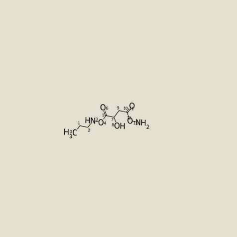 CCCNOC(=O)C(O)CC(=O)ON